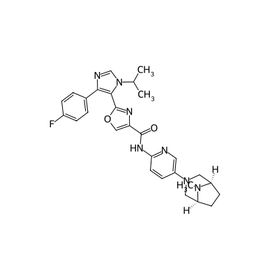 CC(C)n1cnc(-c2ccc(F)cc2)c1-c1nc(C(=O)Nc2ccc(N3C[C@H]4CC[C@@H](C3)N4C)cn2)co1